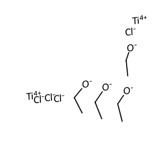 CC[O-].CC[O-].CC[O-].CC[O-].[Cl-].[Cl-].[Cl-].[Cl-].[Ti+4].[Ti+4]